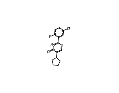 O=c1[nH]c(-c2cc(Cl)ccc2F)ncc1C1CCCC1